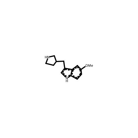 COc1ccc2[nH]cc(CC3CCNC3)c2c1